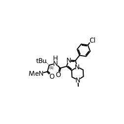 CNC(=O)[C@@H](NC(=O)c1nc(-c2ccc(Cl)cc2)n2c1CN(C)CC2)C(C)(C)C